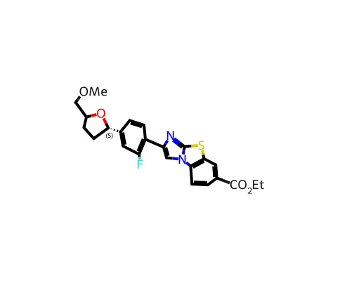 CCOC(=O)c1ccc2c(c1)sc1nc(-c3ccc([C@@H]4CCC(COC)O4)cc3F)cn12